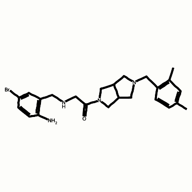 Cc1ccc(CN2CC3CN(C(=O)CNCc4cc(Br)ccc4N)CC3C2)c(C)c1